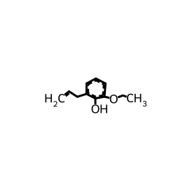 C=CCc1cccc(OCC)c1O